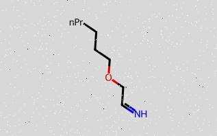 CCCCCCO[CH]C=N